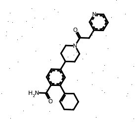 NC(=O)c1ccc(C2CCN(C(=O)Cc3cccnc3)CC2)cc1C1=CCCCC1